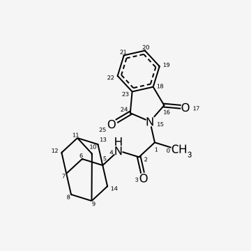 CC(C(=O)NC12CC3CC(CC(C3)C1)C2)N1C(=O)c2ccccc2C1=O